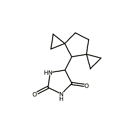 O=C1NC(=O)C(C2C3(CC3)CCC23CC3)N1